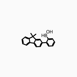 CC1(C)c2ccccc2-c2ccc(-c3ccccc3BO)cc21